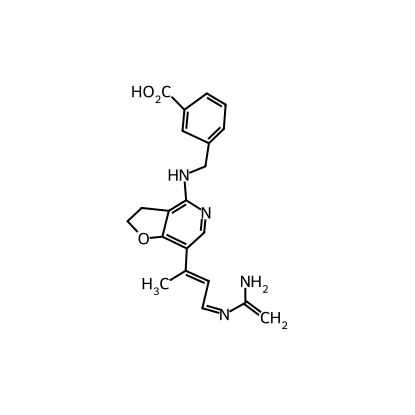 C=C(N)/N=C\C=C(/C)c1cnc(NCc2cccc(C(=O)O)c2)c2c1OCC2